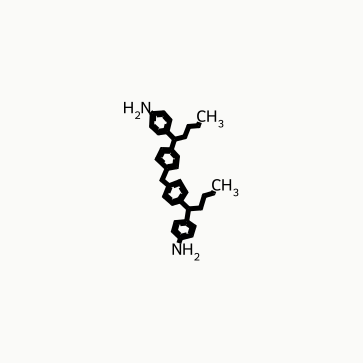 CCCCC(c1ccc(N)cc1)c1ccc(Cc2ccc(C(CCCC)c3ccc(N)cc3)cc2)cc1